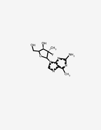 Cc1nc(N)nc2c1ncn2C1OC(CO)[C@@H](O)[C@@]1(C)F